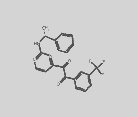 C[C@@H](Nc1nccc(C(=O)C(=O)c2cccc(C(F)(F)F)c2)n1)c1ccccc1